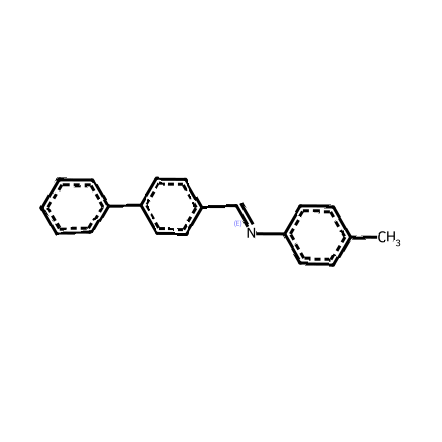 Cc1ccc(/N=C/c2ccc(-c3ccccc3)cc2)cc1